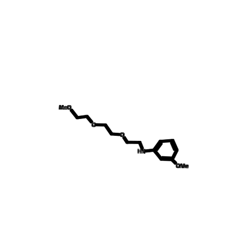 COCCOCCOCCNc1cccc(OC)c1